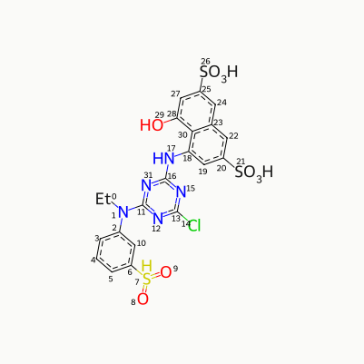 CCN(c1cccc([SH](=O)=O)c1)c1nc(Cl)nc(Nc2cc(S(=O)(=O)O)cc3cc(S(=O)(=O)O)cc(O)c23)n1